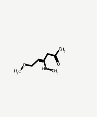 CB/C(=C\COC)CC(C)=O